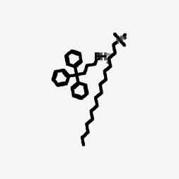 CCCCCCCCCCCCCCCC[N+](C)(C)C.[BH3-]CCCC(c1ccccc1)(c1ccccc1)c1ccccc1